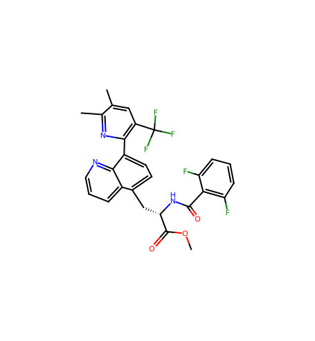 COC(=O)[C@H](Cc1ccc(-c2nc(C)c(C)cc2C(F)(F)F)c2ncccc12)NC(=O)c1c(F)cccc1F